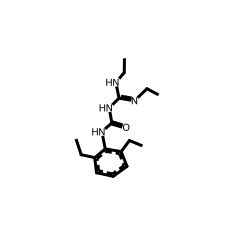 CCN=C(NCC)NC(=O)Nc1c(CC)cccc1CC